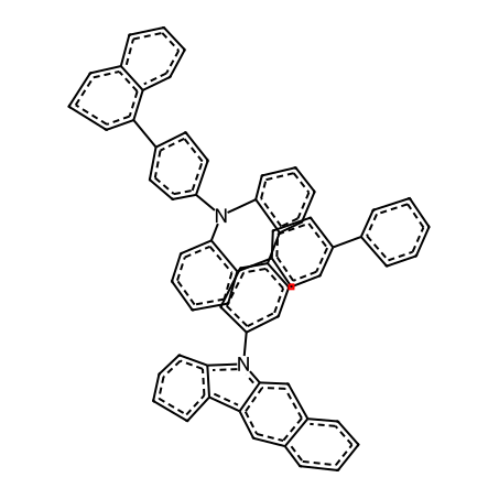 c1ccc(-c2ccc(-c3ccccc3N(c3ccc(-c4cccc5ccccc45)cc3)c3ccccc3-c3ccc(-n4c5ccccc5c5cc6ccccc6cc54)cc3)cc2)cc1